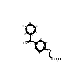 CCOC(=O)COc1ccc(C(=O)c2cccnc2)cc1